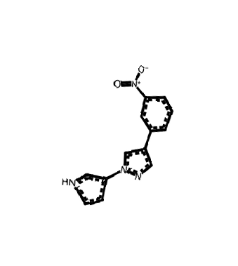 O=[N+]([O-])c1cccc(-c2cnn(-c3cc[nH]c3)c2)c1